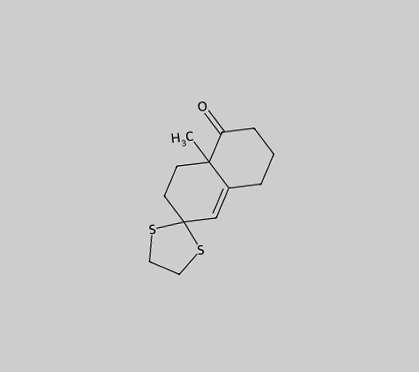 CC12CCC3(C=C1CCCC2=O)SCCS3